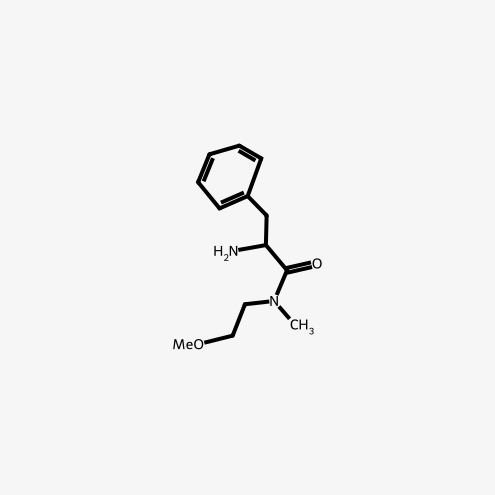 COCCN(C)C(=O)C(N)Cc1ccccc1